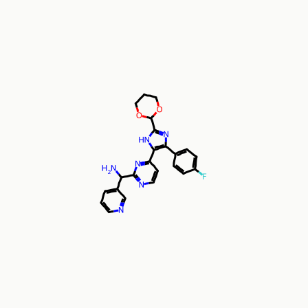 NC(c1cccnc1)c1nccc(-c2[nH]c(C3OCCCO3)nc2-c2ccc(F)cc2)n1